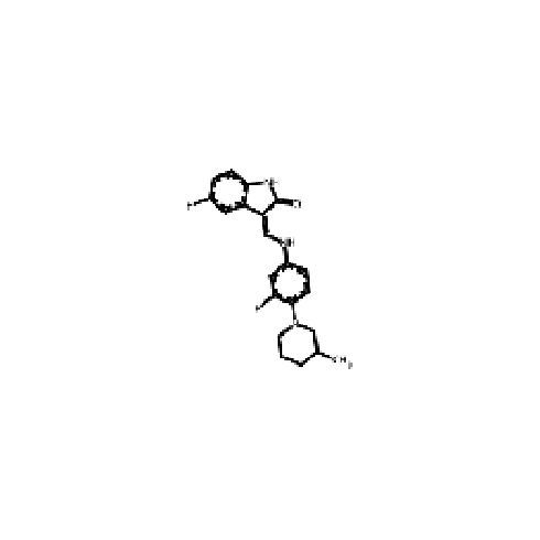 CC1CCCN(c2ccc(NC=C3C(=O)Nc4ccc(F)cc43)cc2F)C1